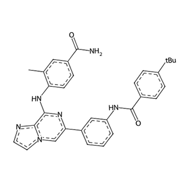 Cc1cc(C(N)=O)ccc1Nc1nc(-c2cccc(NC(=O)c3ccc(C(C)(C)C)cc3)c2)cn2ccnc12